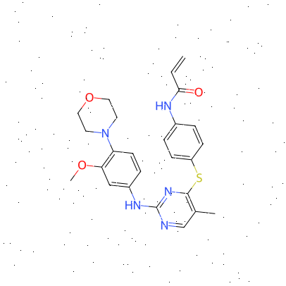 C=CC(=O)Nc1ccc(Sc2nc(Nc3ccc(N4CCOCC4)c(OC)c3)ncc2C)cc1